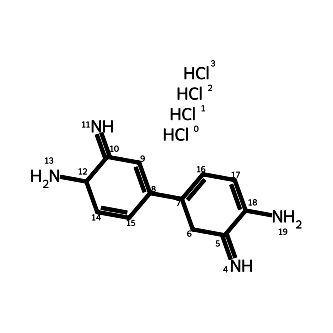 Cl.Cl.Cl.Cl.N=C1CC(C2=CC(=N)C(N)C=C2)=CC=C1N